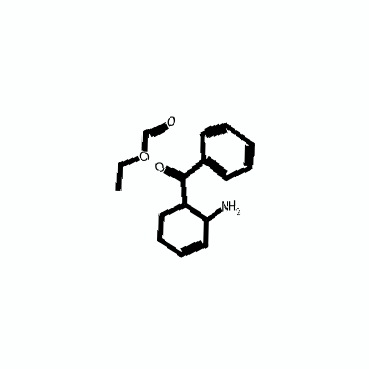 CCOC=O.NC1C=CCCC1C(=O)c1ccccc1